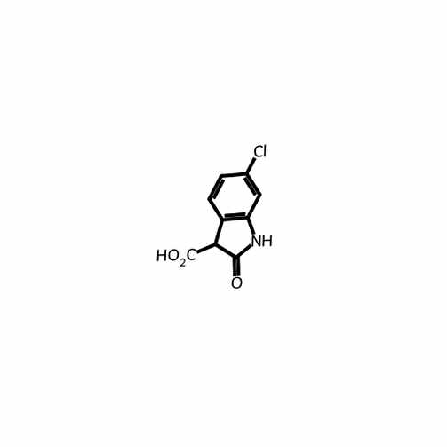 O=C(O)C1C(=O)Nc2cc(Cl)ccc21